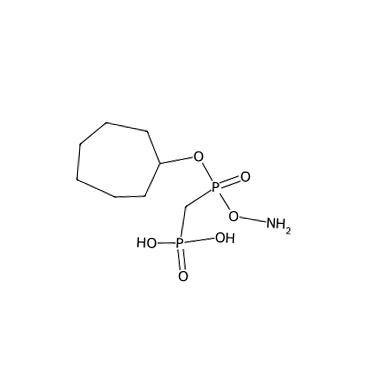 NOP(=O)(CP(=O)(O)O)OC1CCCCCC1